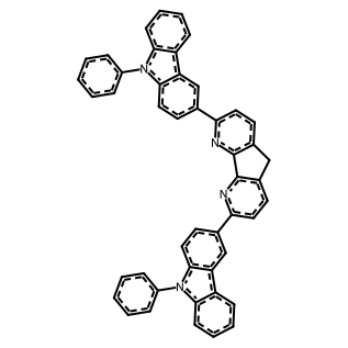 c1ccc(-n2c3ccccc3c3cc(-c4ccc5c(n4)-c4nc(-c6ccc7c(c6)c6ccccc6n7-c6ccccc6)ccc4C5)ccc32)cc1